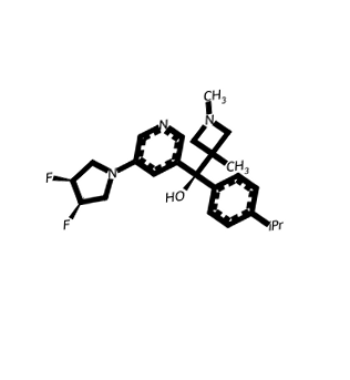 CC(C)c1ccc([C@](O)(c2cncc(N3C[C@@H](F)[C@@H](F)C3)c2)C2(C)CN(C)C2)cc1